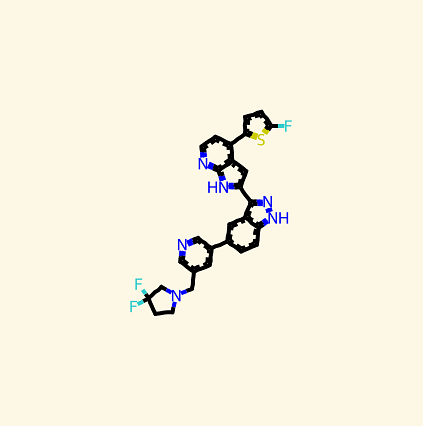 Fc1ccc(-c2ccnc3[nH]c(-c4n[nH]c5ccc(-c6cncc(CN7CCC(F)(F)C7)c6)cc45)cc23)s1